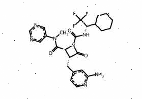 CN(C(=O)[C@@H]1[C@@H](Cc2ccnc(N)c2)C(=O)N1C(=O)N[C@@H](C1CCCCC1)C(F)(F)F)c1cncnc1